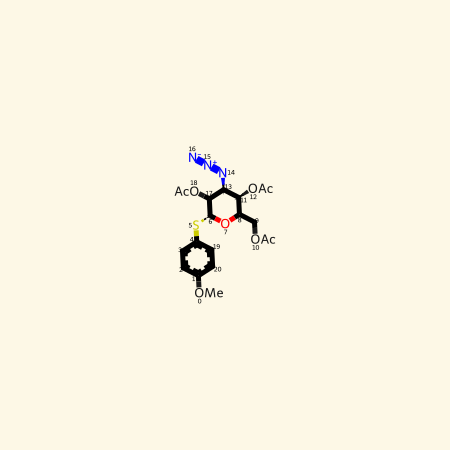 COc1ccc(S[C@H]2OC(COC(C)=O)[C@H](OC(C)=O)[C@H](N=[N+]=[N-])C2OC(C)=O)cc1